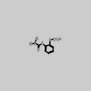 CCOC(=O)Oc1ccccc1OC(=O)N(CC)CC